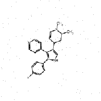 CC1CC(c2c[nH]c(-c3ccc(F)cc3)c2-c2ccncc2)C=CN1C